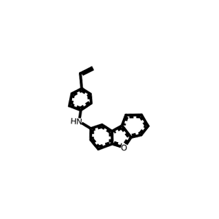 C=Cc1ccc(Nc2ccc3oc4ccccc4c3c2)cc1